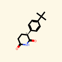 CC(C)(C)c1ccc([C@@H]2CCC(=O)NC2=O)cc1